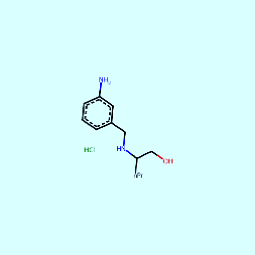 CCCC(CO)NCc1cccc(N)c1.Cl